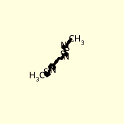 CC#Cc1ncc(-c2cnc(CCC#Cc3ccc(-c4ccc(C)s4)nc3)s2)s1